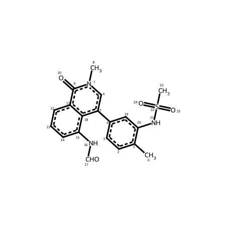 Cc1ccc(-c2cn(C)c(=O)c3cccc(NC=O)c23)cc1NS(C)(=O)=O